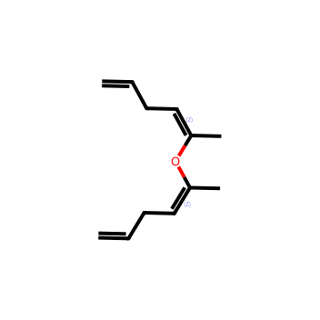 C=CC/C=C(/C)O/C(C)=C\CC=C